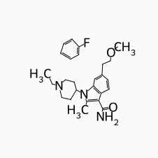 CCN1CCC(n2c(C)c(C(N)=O)c3ccc(CCOC)cc32)CC1.Fc1ccccc1